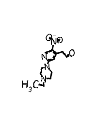 CCN1CCN(c2cc(CC=O)c([N+](=O)[O-])cn2)CC1